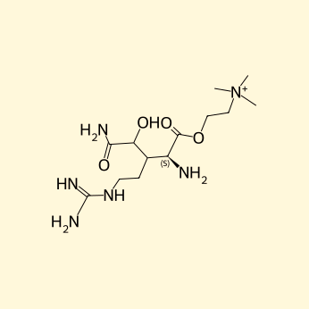 C[N+](C)(C)CCOC(=O)[C@@H](N)C(CCNC(=N)N)C(O)C(N)=O